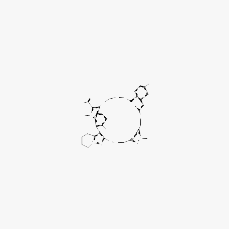 Cn1nc2cc1CSc1cc(c3ccc(F)cc3c1)OCCCc1c(C(=O)O)n(C)c3c(c(Cl)ccc13)-c1c(nn3c1CCCC3)CSC2